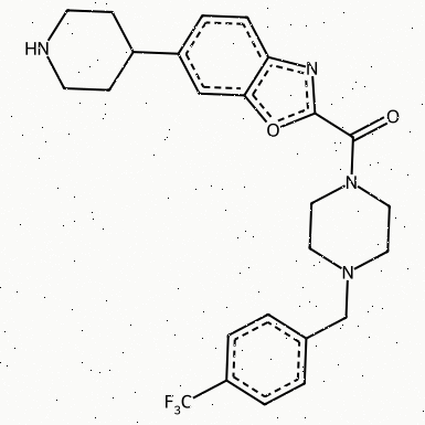 O=C(c1nc2ccc(C3CCNCC3)cc2o1)N1CCN(Cc2ccc(C(F)(F)F)cc2)CC1